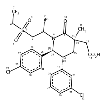 CC(C)C(CS(=O)(=O)CC(F)(F)F)N1C(=O)[C@@](C)(CC(=O)O)C[C@H](c2cccc(Cl)c2)[C@H]1c1ccc(Cl)cc1